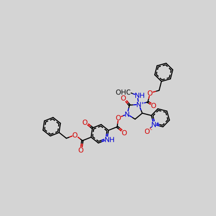 O=CN[N+]1(C(=O)OCc2ccccc2)C(=O)N(OC(=O)c2cc(=O)c(C(=O)OCc3ccccc3)c[nH]2)CC1c1cccc[n+]1[O-]